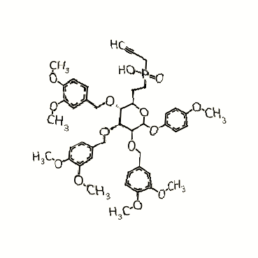 C#CCP(=O)(O)CC[C@H]1OC(Oc2ccc(OC)cc2)[C@@H](OCc2ccc(OC)c(OC)c2)[C@@H](OCc2ccc(OC)c(OC)c2)[C@@H]1OCc1ccc(OC)c(OC)c1